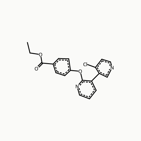 CCOC(=O)c1ccc(Oc2ncccc2-c2cnccc2Cl)cc1